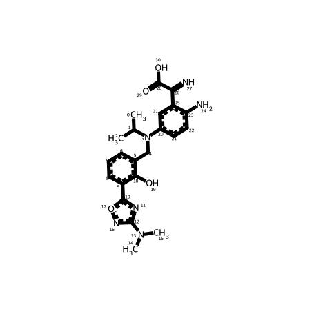 CC(C)N(Cc1cccc(-c2nc(N(C)C)no2)c1O)c1ccc(N)c(C(=N)C(=O)O)c1